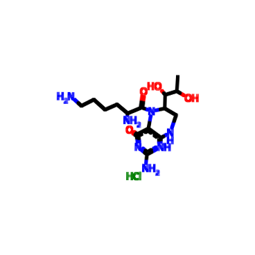 CC(O)C(O)C1CNc2[nH]c(N)nc(=O)c2N1C(=O)C(N)CCCCN.Cl